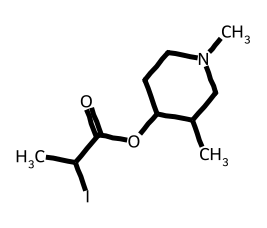 CC(I)C(=O)OC1CCN(C)CC1C